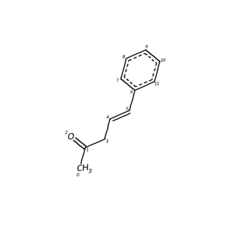 CC(=O)CC=Cc1ccccc1